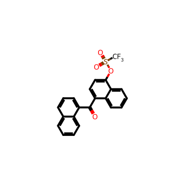 O=C(c1cccc2ccccc12)c1ccc(OS(=O)(=O)C(F)(F)F)c2ccccc12